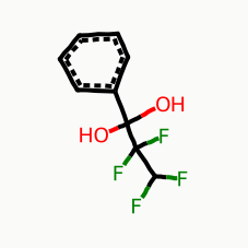 OC(O)(c1ccccc1)C(F)(F)C(F)F